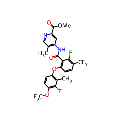 COC(=O)c1cc(NC(=O)c2c(Oc3ccc(OC(F)(F)F)c(F)c3C)ccc(C(F)(F)F)c2F)c(C)cn1